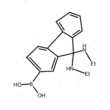 CCNC1(NCC)c2ccccc2-c2ccc(B(O)O)cc21